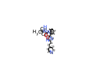 CC(C)(C)NC(=O)N1CC2CCC1(c1nc(CCc3ccncc3)no1)CC2